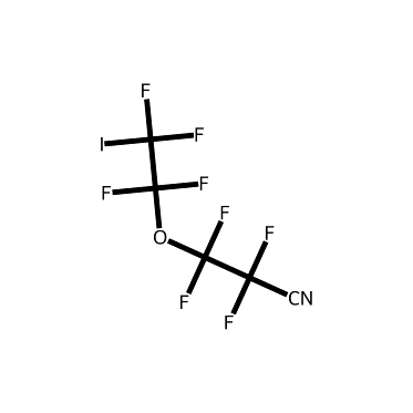 N#CC(F)(F)C(F)(F)OC(F)(F)C(F)(F)I